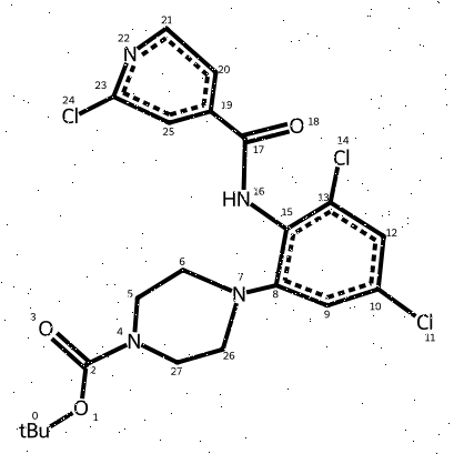 CC(C)(C)OC(=O)N1CCN(c2cc(Cl)cc(Cl)c2NC(=O)c2ccnc(Cl)c2)CC1